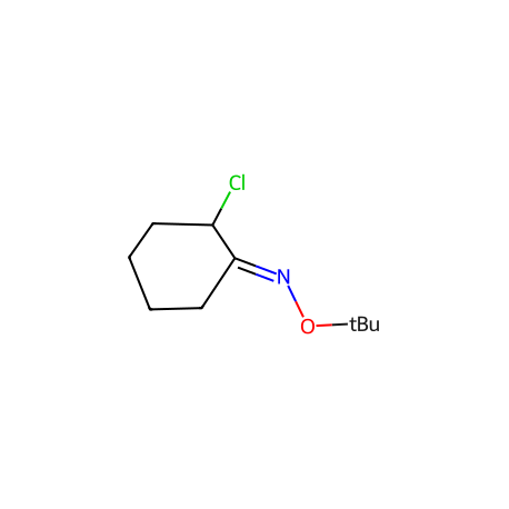 CC(C)(C)ON=C1CCCCC1Cl